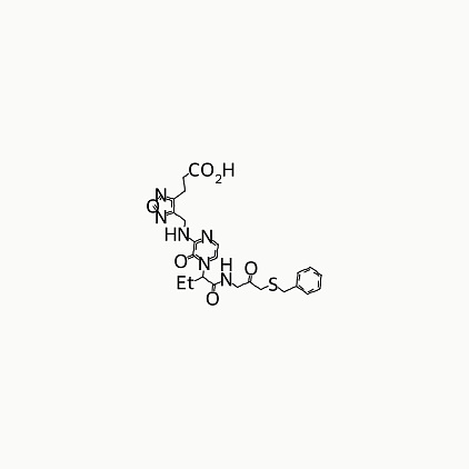 CCC(C(=O)NCC(=O)CSCc1ccccc1)n1ccnc(NCc2nonc2CCC(=O)O)c1=O